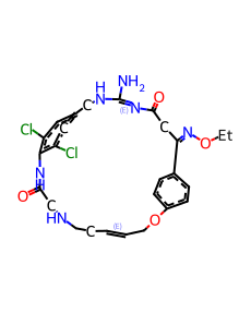 CCON=C1CC(=O)/N=C(\N)NCc2cc(Cl)c(c(Cl)c2)NC(=O)CNCC/C=C/COc2ccc1cc2